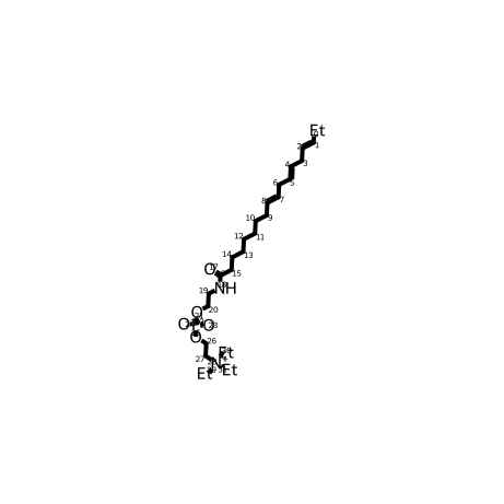 CCC=CCC=CCC=CCCCCCCCC(=O)NCCOP(=O)([O-])OCC[N+](CC)(CC)CC